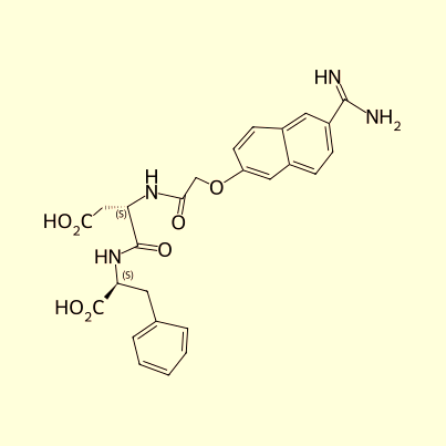 N=C(N)c1ccc2cc(OCC(=O)N[C@@H](CC(=O)O)C(=O)N[C@@H](Cc3ccccc3)C(=O)O)ccc2c1